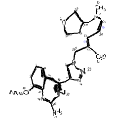 COc1cccc2c(-c3cn(C/C(C=O)=C/C=C\N(C)C4CCOC4)nn3)nc(N)nc12